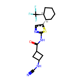 N#CNC1CC(C(=O)Nc2ncc([C@H]3CCCC[C@@H]3C(F)(F)F)s2)C1